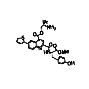 COC(=O)[C@H](Cc1ccc(O)cc1)NC(=O)c1cc(C(=O)OCC(N)C(C)C)c2cc(-c3cccs3)ccc2n1